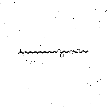 CCCCOCCOCCCC(=O)OCCCCCCCCCCCCCCCC(C)C